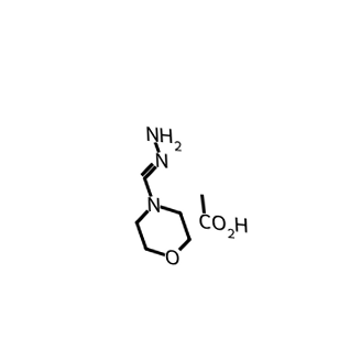 CC(=O)O.NN=CN1CCOCC1